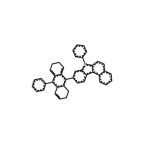 C1=Cc2c(c(-c3ccc4c5c6ccccc6ccc5n(-c5ccccc5)c4c3)c3c(c2-c2ccccc2)=CCCC=3)CC1